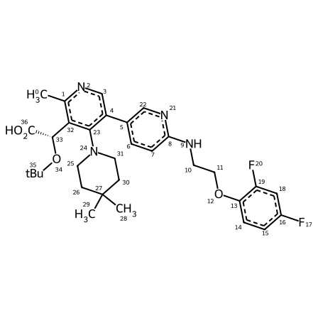 Cc1ncc(-c2ccc(NCCOc3ccc(F)cc3F)nc2)c(N2CCC(C)(C)CC2)c1[C@H](OC(C)(C)C)C(=O)O